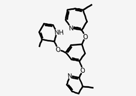 CC1=CC=CN=C(OC2C=C(OC3NC=CC=C3C)C=C(OC3=NC=CCC3C)C2)C1